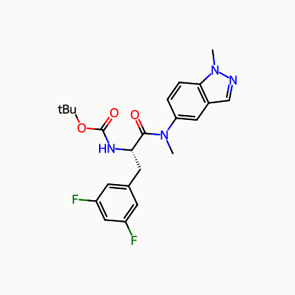 CN(C(=O)[C@H](Cc1cc(F)cc(F)c1)NC(=O)OC(C)(C)C)c1ccc2c(cnn2C)c1